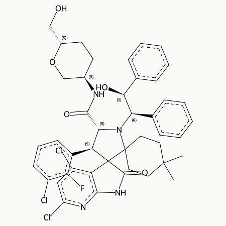 CC1(C)CCC2(CC1)N([C@H](c1ccccc1)[C@@H](O)c1ccccc1)[C@@H](C(=O)N[C@@H]1CC[C@@H](CO)OC1)[C@H](c1cccc(Cl)c1F)C21C(=O)Nc2nc(Cl)cc(Cl)c21